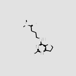 CN(C)C(=O)CCCNc1nc(Cl)nc2c1SCC2